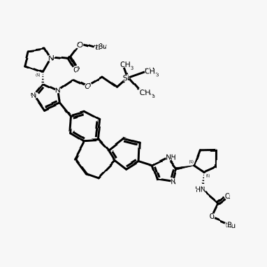 CC(C)(C)OC(=O)N[C@H]1CCC[C@@H]1c1ncc(-c2ccc3c(c2)CCCc2cc(-c4cnc([C@@H]5CCCN5C(=O)OC(C)(C)C)n4COCC[Si](C)(C)C)ccc2-3)[nH]1